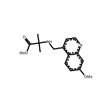 COC(=O)C(C)(C)NCc1ccnc2cc(OC)ccc12